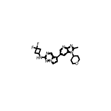 Cc1nc2ncc(-c3ccn4nc(NC5CC(F)(F)C5)ncc34)cc2n1C1CCOCC1